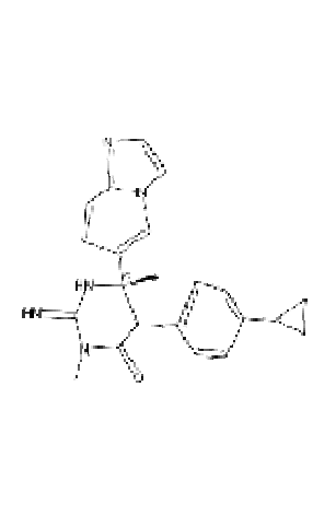 CN1C(=N)N[C@](C)(c2ccc3nccn3c2)C(c2ccc(C3CC3)cc2)C1=O